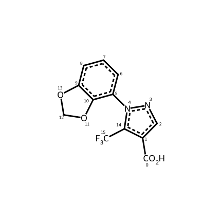 O=C(O)c1cnn(-c2cccc3c2OCO3)c1C(F)(F)F